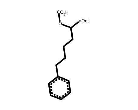 CCCCCCCCC(CCCCc1ccccc1)OC(=O)O